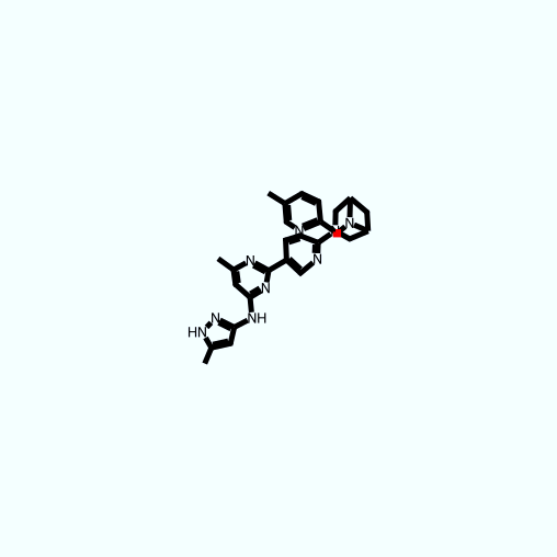 Cc1ccc(CN2C3CC2CN(c2ccc(-c4nc(C)cc(Nc5cc(C)[nH]n5)n4)cn2)C3)nc1